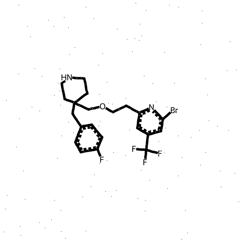 Fc1ccc(CC2(COCCc3cc(C(F)(F)F)cc(Br)n3)CCNCC2)cc1